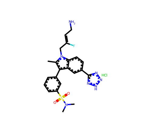 Cc1c(-c2cccc(S(=O)(=O)N(C)C)c2)c2cc(-c3nn[nH]n3)ccc2n1CC(F)=CCN.Cl